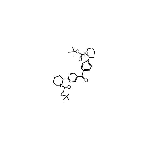 CC(C)(C)OC(=O)N1CCCC[C@H]1c1ccc(C(=O)c2ccc([C@@H]3CCCCN3C(=O)OC(C)(C)C)cc2)cc1